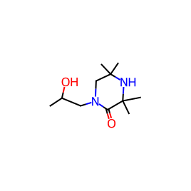 CC(O)CN1CC(C)(C)NC(C)(C)C1=O